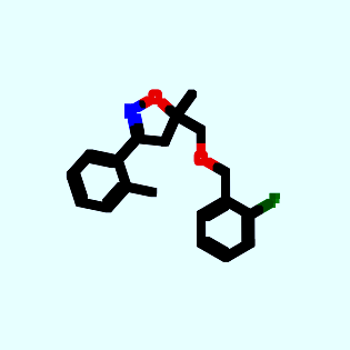 Cc1ccccc1C1=NOC(C)(COCc2ccccc2F)C1